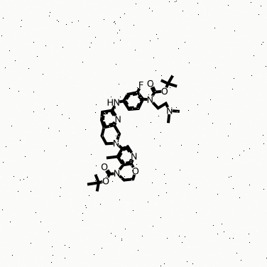 Cc1c(N2CCc3ccc(Nc4ccc(N(CCN(C)C)C(=O)OC(C)(C)C)c(F)c4)nc3C2)cnc2c1N(C(=O)OC(C)(C)C)CCO2